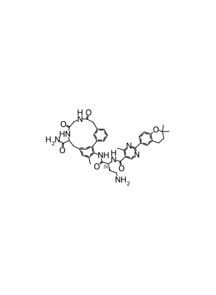 Cc1cc2cc(c1NC(=O)[C@H](CCN)NC(=O)c1cnc(-c3ccc4c(c3)CCC(C)(C)O4)nc1C)-c1cccc(c1)CC(=O)NCC(=O)NC(C(N)=O)C2